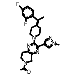 CC(=O)N1CCc2nc(N3CCC(=C(C)c4ccc(F)cc4F)CC3)c(-c3cnn(C)c3)nc2C1